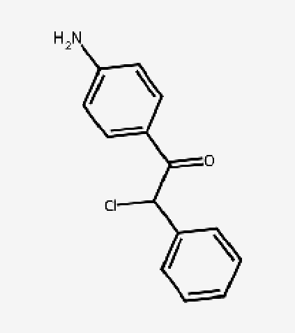 Nc1ccc(C(=O)C(Cl)c2ccccc2)cc1